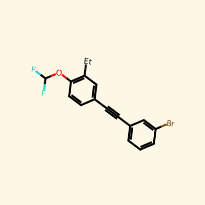 CCc1cc(C#Cc2cccc(Br)c2)ccc1OC(F)F